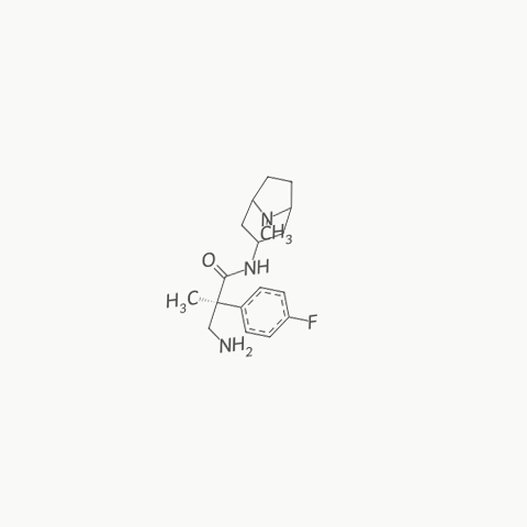 CN1C2CCC1CC(NC(=O)[C@](C)(CN)c1ccc(F)cc1)C2